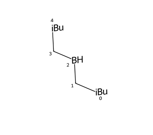 CCC(C)CBCC(C)CC